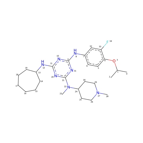 CC(C)Oc1ccc(Nc2nc(NC3CCCCCC3)nc(N(C)C3CCN(C)CC3)n2)cc1F